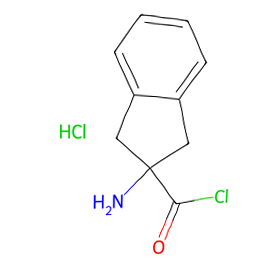 Cl.NC1(C(=O)Cl)Cc2ccccc2C1